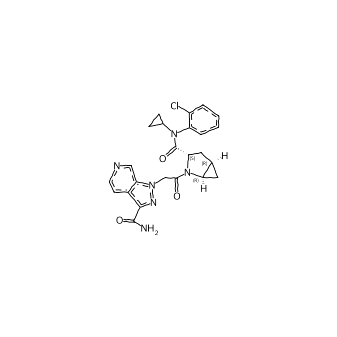 NC(=O)c1nn(CC(=O)N2[C@@H]3C[C@@H]3C[C@H]2C(=O)N(c2ccccc2Cl)C2CC2)c2cnccc12